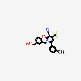 Cc1cccc(-c2cc(C(F)(F)F)c(C#N)c(=O)n2Cc2cccc(CO)c2)c1